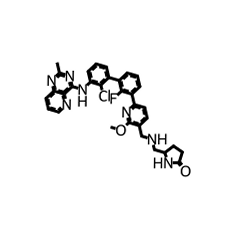 COc1nc(-c2cccc(-c3cccc(Nc4nc(C)nc5cccnc45)c3Cl)c2F)ccc1CNCC1CCC(=O)N1